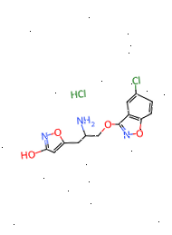 Cl.NC(COc1noc2ccc(Cl)cc12)Cc1cc(O)no1